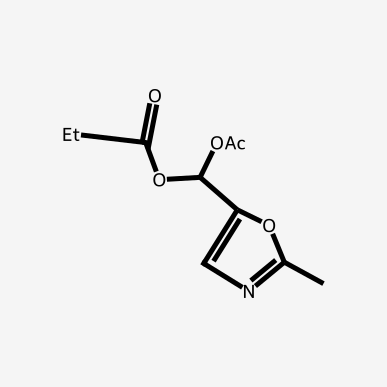 CCC(=O)OC(OC(C)=O)c1cnc(C)o1